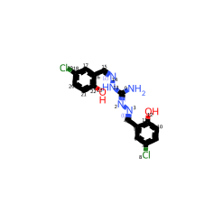 N/C(=N\N=C\c1cc(Cl)ccc1O)N/N=C\c1cc(Cl)ccc1O